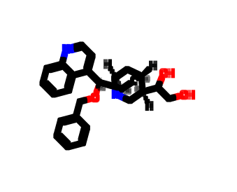 OCC(O)[C@H]1CN2CC[C@H]1C[C@@H]2[C@@H](OCc1ccccc1)c1ccnc2ccccc12